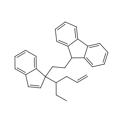 C=CCC(CC)C1(CCC2c3ccccc3-c3ccccc32)C=Cc2ccccc21